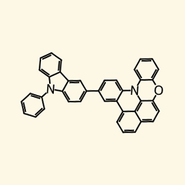 c1ccc(-n2c3ccccc3c3cc(-c4ccc5c(c4)c4cccc6ccc7oc8ccccc8n5-c7c64)ccc32)cc1